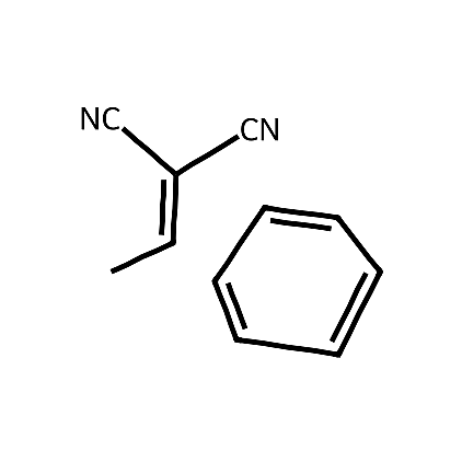 CC=C(C#N)C#N.c1ccccc1